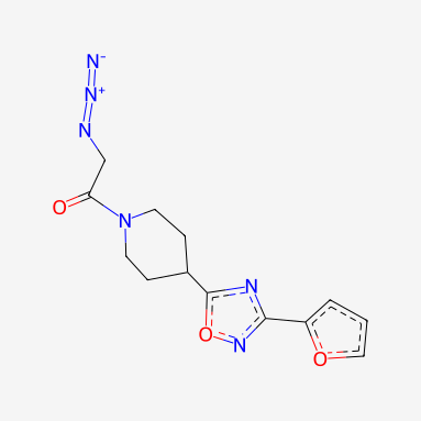 [N-]=[N+]=NCC(=O)N1CCC(c2nc(-c3ccco3)no2)CC1